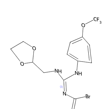 N=C(Br)/N=C(/NCC1OCCO1)Nc1ccc(OC(F)(F)F)cc1